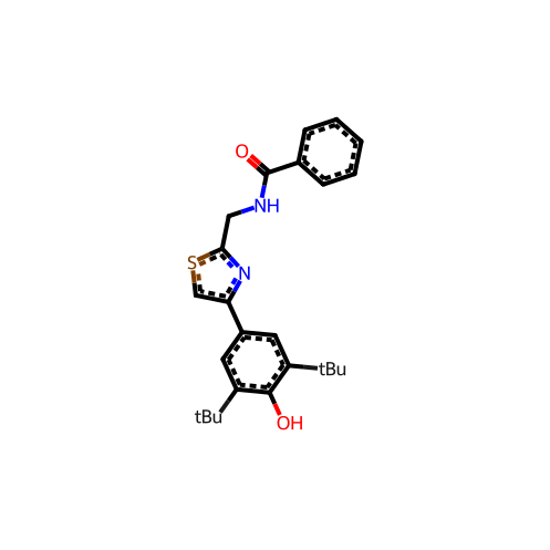 CC(C)(C)c1cc(-c2csc(CNC(=O)c3ccccc3)n2)cc(C(C)(C)C)c1O